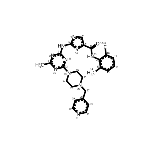 Cc1nc(Nc2ncc(C(=O)Nc3c(C)cccc3Cl)s2)nc(N2CCN(Cc3ccncc3)CC2)n1